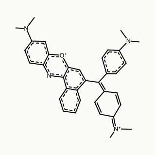 CN(C)c1ccc(C(=C2C=CC(=[N+](C)C)C=C2)c2cc3[o+]c4cc(N(C)C)ccc4nc3c3ccccc23)cc1